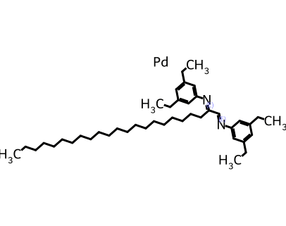 CCCCCCCCCCCCCCCCCCCCCC(/C=N/c1cc(CC)cc(CC)c1)=N\c1cc(CC)cc(CC)c1.[Pd]